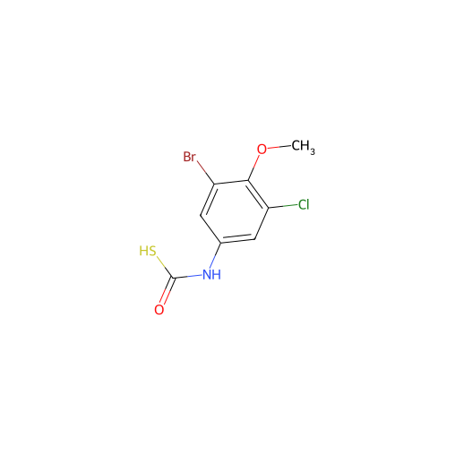 COc1c(Cl)cc(NC(=O)S)cc1Br